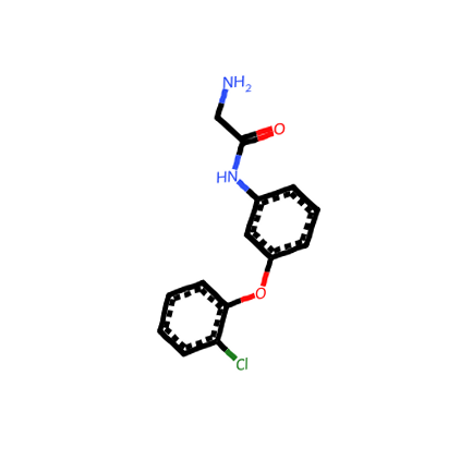 NCC(=O)Nc1cccc(Oc2ccccc2Cl)c1